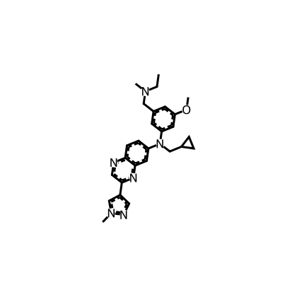 CCN(C)Cc1cc(OC)cc(N(CC2CC2)c2ccc3ncc(-c4cnn(C)c4)nc3c2)c1